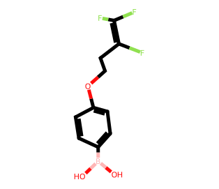 OB(O)c1ccc(OCCC(F)=C(F)F)cc1